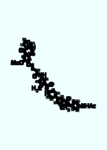 COc1cc2c(cc1OCCCC(=O)Nc1cc(C(=O)Nc3ccc(-c4cc(C(=O)Nc5ccc(NC(C)=O)cc5)n(C)c4)cc3)n(C)c1)N=C[C@@H]1CCCCN1C2=O